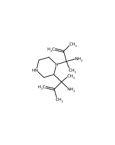 C=C(C)C(C)(N)C1CNCCN1C(C)(N)C(=C)C